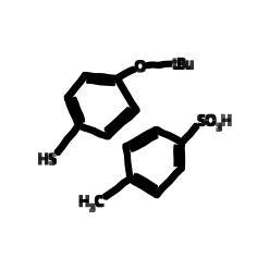 CC(C)(C)Oc1ccc(S)cc1.Cc1ccc(S(=O)(=O)O)cc1